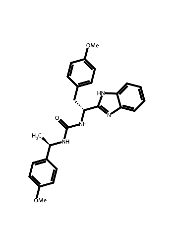 COc1ccc(C[C@@H](NC(=O)N[C@H](C)c2ccc(OC)cc2)c2nc3ccccc3[nH]2)cc1